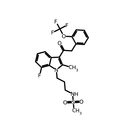 Cc1c(C(=O)Cc2ccccc2OC(F)(F)F)c2cccc(F)c2n1CCCNS(C)(=O)=O